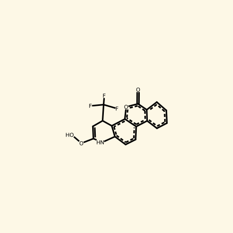 O=c1oc2c3c(ccc2c2ccccc12)NC(OO)=CC3C(F)(F)F